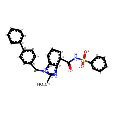 O=C(NS(=O)(=O)c1ccccc1)c1cccc2c1nc(C(=O)O)n2Cc1ccc(-c2ccccc2)cc1